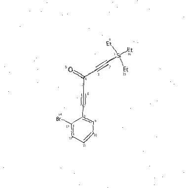 CC[Si](C#CC(=O)C#Cc1ccccc1Br)(CC)CC